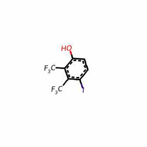 Oc1ccc(I)c(C(F)(F)F)c1C(F)(F)F